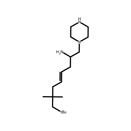 CC(C)(C)CC(C)(C)CC=CCC(N)CN1CCNCC1